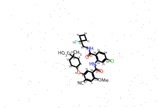 COc1cc(C#N)c(OC2CCC(C)(C(=O)O)CC2)cc1C(=O)Nc1cc(Cl)ccc1C(=O)NCC1(F)CCC1